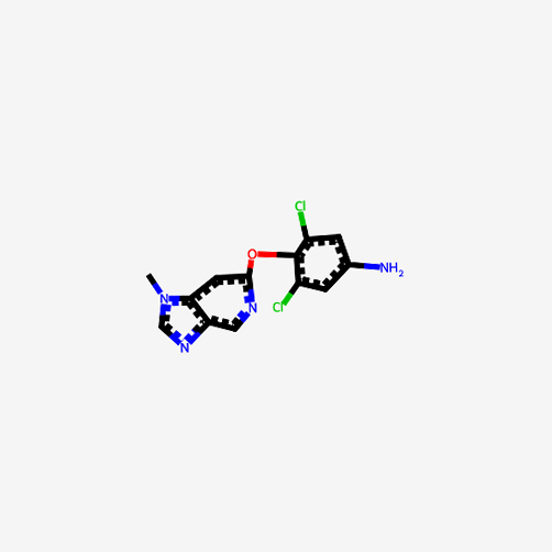 Cn1cnc2cnc(Oc3c(Cl)cc(N)cc3Cl)cc21